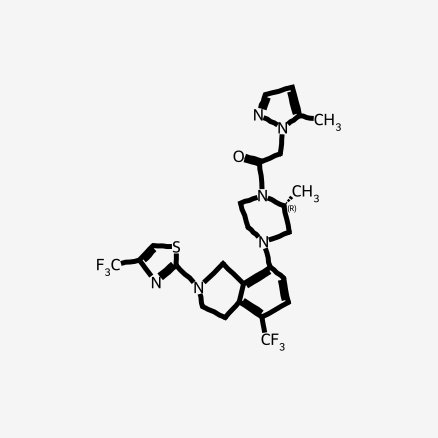 Cc1ccnn1CC(=O)N1CCN(c2ccc(C(F)(F)F)c3c2CN(c2nc(C(F)(F)F)cs2)CC3)C[C@H]1C